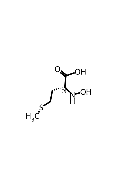 CSCC[C@@H](NO)C(=O)O